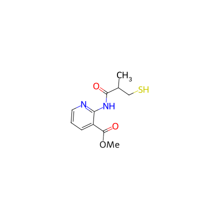 COC(=O)c1cccnc1NC(=O)C(C)CS